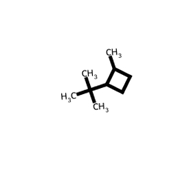 CC1CC[C]1C(C)(C)C